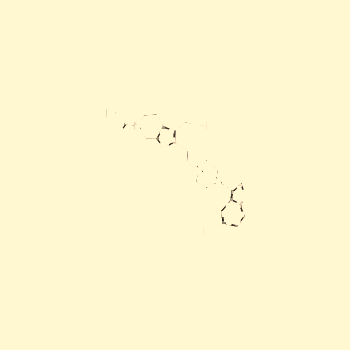 CCc1c(CCN2CCN(c3csc4ccc(C)cc34)CC2)sc2c1CCN(C(C)=O)C2